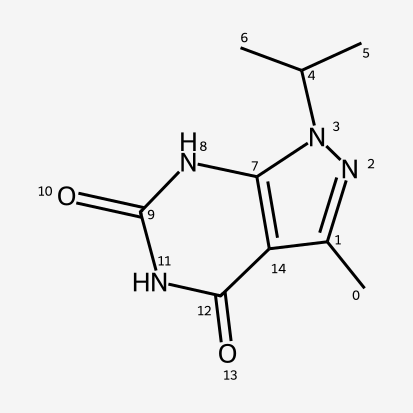 Cc1nn(C(C)C)c2[nH]c(=O)[nH]c(=O)c12